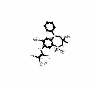 CCCCC1(C)CN(c2ccccc2)c2cc(SC)c(O/C(CC)=C(\F)C(=O)O)cc2S(O)(O)C1